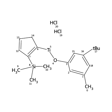 Cc1cc([O][Ti][C]2=C([Si](C)(C)C)C=CC2)cc(C(C)(C)C)c1.Cl.Cl